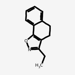 CCc1noc2c1CCc1ccccc1-2